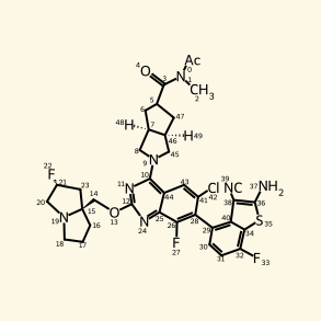 CC(=O)N(C)C(=O)C1C[C@@H]2CN(c3nc(OC[C@@]45CCCN4C[C@H](F)C5)nc4c(F)c(-c5ccc(F)c6sc(N)c(C#N)c56)c(Cl)cc34)C[C@@H]2C1